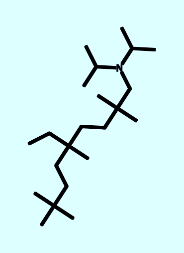 CCC(C)(CCC(C)(C)C)CCC(C)(C)CN(C(C)C)C(C)C